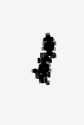 COc1cc(NC(=S)NC(=O)c2ccc(C(C)(C)C)cc2)ccc1NC(N)=O